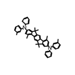 Cc1cccc(N(c2ccccc2)c2cc(C)c3c(c2)C(C)(C)c2cc4c(cc2-3)C(C)(C)c2cc(N(c3cccc(C)c3)C3C=CC=CC3)cc(C)c2-4)c1